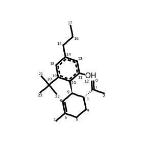 C=C(C)[C@@H]1CCC(C)=C[C@H]1c1c(O)cc(CCC)cc1C(C)(C)C